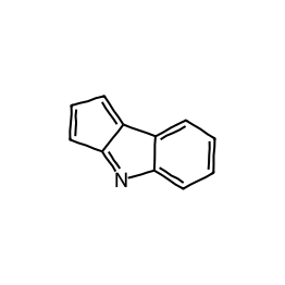 C1=CC2=Nc3ccccc3C2=C1